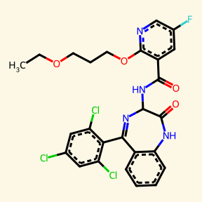 CCOCCCOc1ncc(F)cc1C(=O)NC1N=C(c2c(Cl)cc(Cl)cc2Cl)c2ccccc2NC1=O